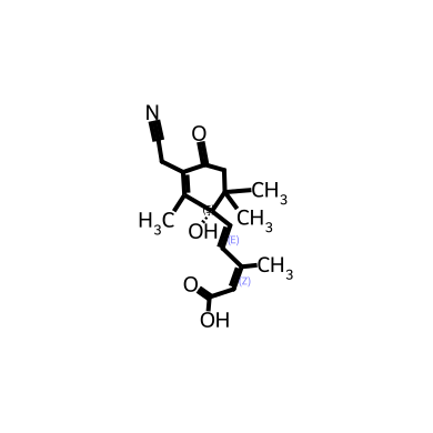 CC1=C(CC#N)C(=O)CC(C)(C)[C@@]1(O)/C=C/C(C)=C\C(=O)O